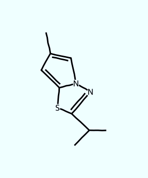 Cc1cc2sc(C(C)C)nn2c1